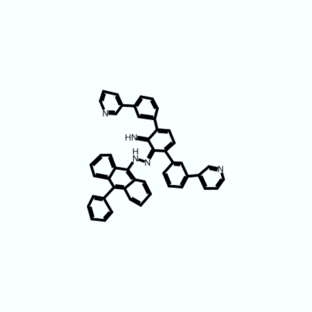 N=C1C(c2cccc(-c3cccnc3)c2)=CC=C(c2cccc(-c3cccnc3)c2)/C1=N/Nc1c2ccccc2c(-c2ccccc2)c2ccccc12